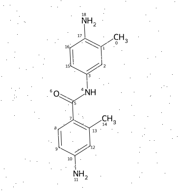 Cc1cc(NC(=O)c2ccc(N)cc2C)ccc1N